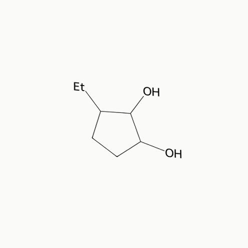 CCC1CCC(O)C1O